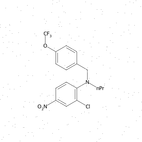 CCCN(Cc1ccc(OC(F)(F)F)cc1)c1ccc([N+](=O)[O-])cc1Cl